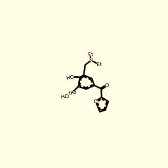 CCN(CC)Cc1cc(C(=O)c2ccco2)cc(C(C)(C)C)c1O.Cl